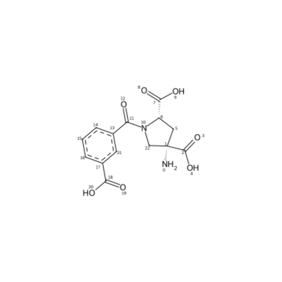 N[C@@]1(C(=O)O)C[C@@H](C(=O)O)N(C(=O)c2cccc(C(=O)O)c2)C1